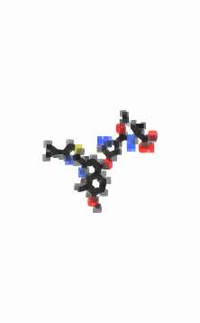 C=C[C@@H]1C[C@]1(NC(=O)[C@H]1C[C@@H](Oc2cc(-c3nc(C4CC4)cs3)nc3c(C)c(OC)ccc23)CN1)C(=O)O